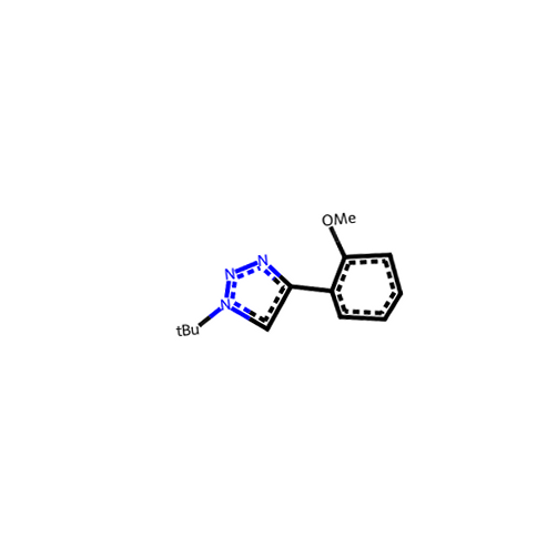 COc1ccccc1-c1cn(C(C)(C)C)nn1